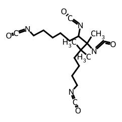 CC(C)(CCCCN=C=O)C(C)(N=C=O)C(CCCCCN=C=O)N=C=O